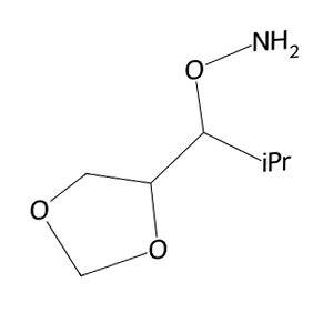 CC(C)C(ON)C1COCO1